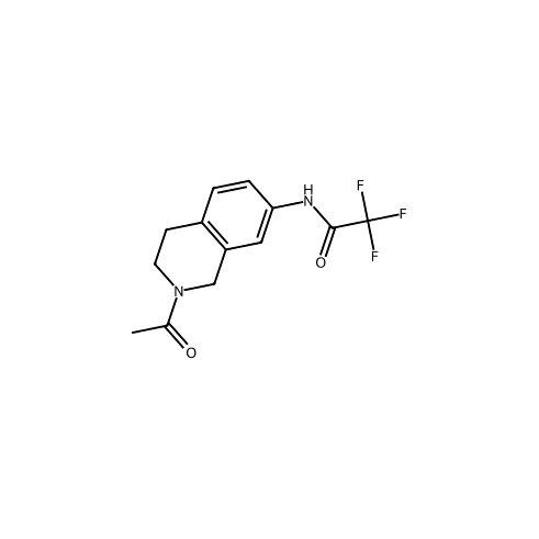 CC(=O)N1CCc2ccc(NC(=O)C(F)(F)F)cc2C1